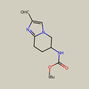 CC(C)(C)OC(=O)NC1CCc2nc(C=O)cn2C1